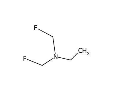 CCN(CF)CF